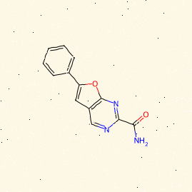 NC(=O)c1n[c]c2cc(-c3ccccc3)oc2n1